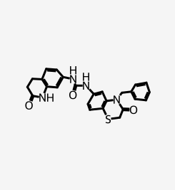 O=C1CCc2ccc(NC(=O)Nc3ccc4c(c3)N(Cc3ccccc3)C(=O)CS4)cc2N1